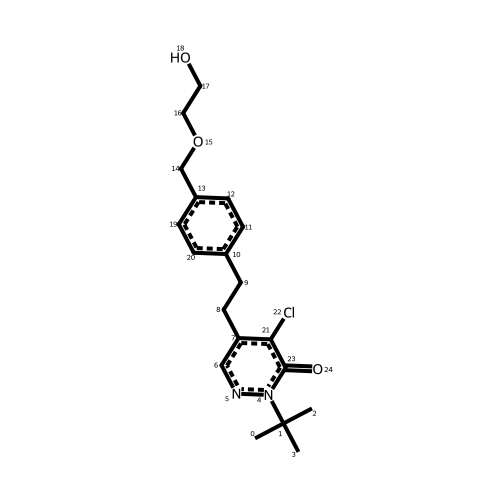 CC(C)(C)n1ncc(CCc2ccc(COCCO)cc2)c(Cl)c1=O